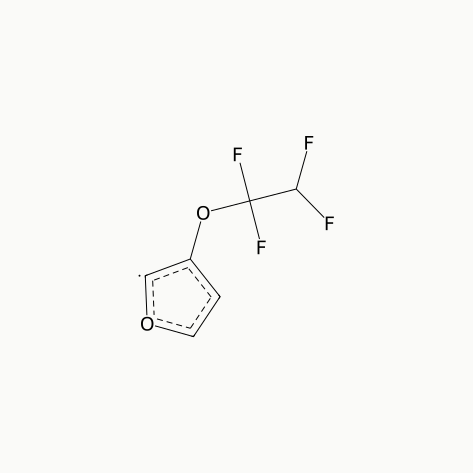 FC(F)C(F)(F)Oc1[c]occ1